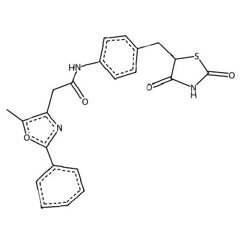 Cc1oc(-c2ccccc2)nc1CC(=O)Nc1ccc(CC2SC(=O)NC2=O)cc1